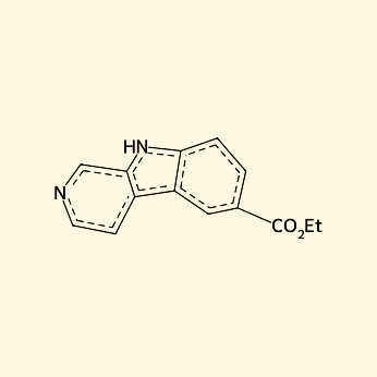 CCOC(=O)c1ccc2[nH]c3cnccc3c2c1